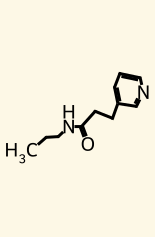 CCCNC(=O)CCc1cccnc1